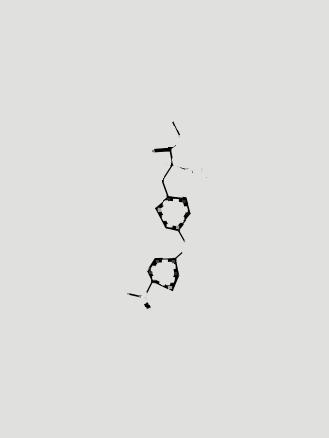 COC(=O)[C@@H](N)Cc1ccc(Oc2ccc([N+](=O)[O-])cc2)cc1